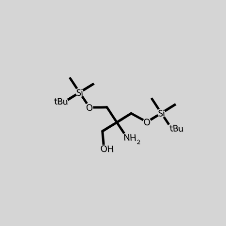 CC(C)(C)[Si](C)(C)OCC(N)(CO)CO[Si](C)(C)C(C)(C)C